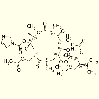 CC[C@H]1OC(=O)[C@H](C)C(=O)[C@H](C)[C@@H](OC2O[C@H](C)C[C@H](N(C)C)[C@H]2OC(C)=O)[C@@](C)(OC)C[C@@H](C)C(=O)/C(COC(C)=O)=C/[C@]1(C)OC(=O)n1ccnc1